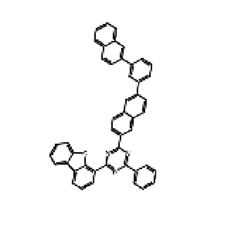 c1ccc(-c2nc(-c3ccc4cc(-c5cccc(-c6ccc7ccccc7c6)c5)ccc4c3)nc(-c3cccc4c3sc3ccccc34)n2)cc1